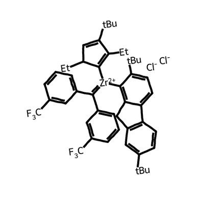 CCC1=[C]([Zr+2](=[C](c2cccc(C(F)(F)F)c2)c2cccc(C(F)(F)F)c2)[c]2c(C(C)(C)C)ccc3c2Cc2cc(C(C)(C)C)ccc2-3)C(CC)C=C1C(C)(C)C.[Cl-].[Cl-]